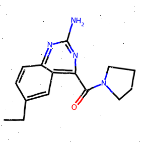 CCc1ccc2nc(N)nc(C(=O)N3CCCC3)c2c1